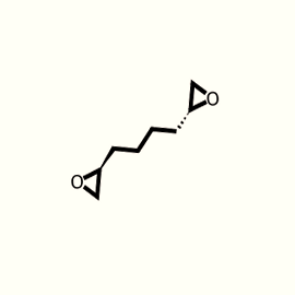 C(CC[C@H]1CO1)C[C@@H]1CO1